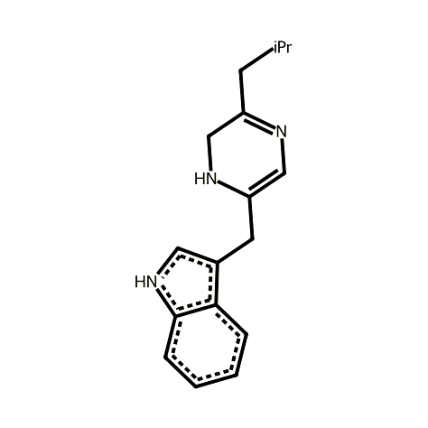 CC(C)CC1=NC=C(Cc2c[nH]c3ccccc23)NC1